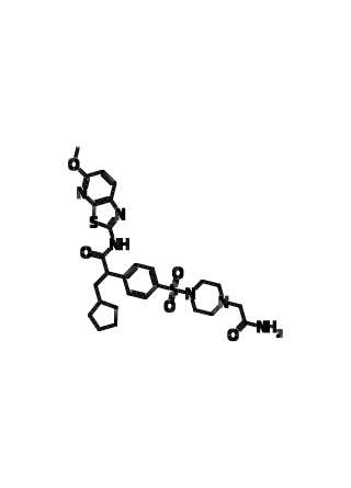 COc1ccc2nc(NC(=O)C(CC3CCCC3)c3ccc(S(=O)(=O)N4CCN(CC(N)=O)CC4)cc3)sc2n1